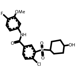 COc1cc(NC(=O)c2ccc(Cl)c(S(=O)(=O)C3CCC(O)CC3)c2)ccc1F